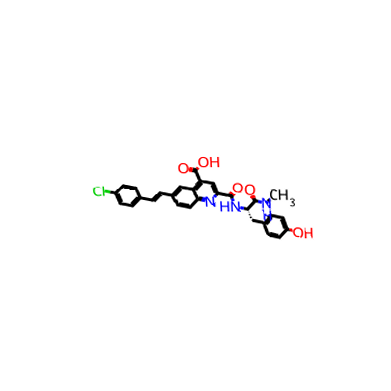 CNC(=O)[C@H](Cc1ccc(O)cc1)NC(=O)c1cc(C(=O)O)c2cc(/C=C/c3ccc(Cl)cc3)ccc2n1